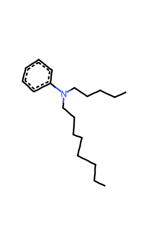 CCCCCCCCN(CCCCC)c1ccccc1